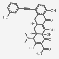 CN(C)[C@@H]1C(O)=C(C(N)=O)C(=O)[C@@]2(O)C(O)=C3C(=O)c4c(O)ccc(C#Cc5cccc(O)c5)c4C[C@H]3C[C@@H]12